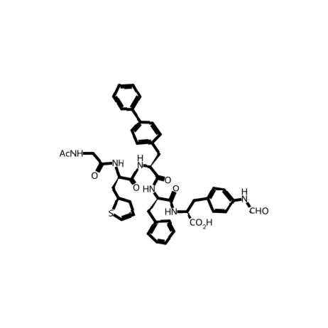 CC(=O)NCC(=O)N[C@H](CC1CC=CS1)C(=O)N[C@@H](Cc1ccc(-c2ccccc2)cc1)C(=O)N[C@H](Cc1ccccc1)C(=O)N[C@@H](Cc1ccc(NC=O)cc1)C(=O)O